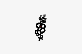 CC(C)(C)OC(=O)N1CCc2ccc(OS(=O)(=O)C(F)(F)F)cc2C1C1(c2ccccn2)CCC1